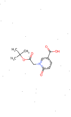 CC(C)(C)OC(=O)Cn1cc(C(=O)O)ccc1=O